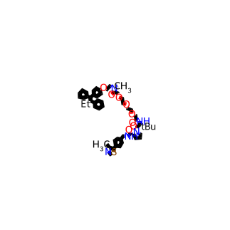 CC/C(=C(\c1ccccc1)c1ccc(OCCN(C)C(=O)COCCOCCOCC(=O)NC(C(=O)N2CCC[C@H]2C(=O)NCc2ccc(-c3scnc3C)cc2)C(C)(C)C)cc1)c1ccccc1